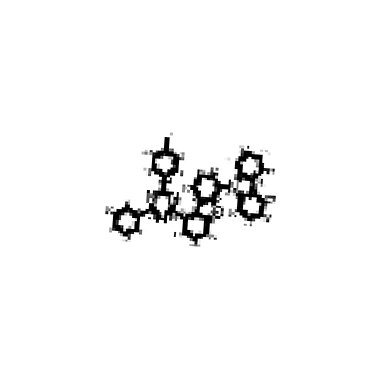 Cc1ccc(-c2nc(-c3ccccc3)nc(-c3cccc4oc5c(-n6c7ccccc7c7ccccc76)cccc5c34)n2)cc1